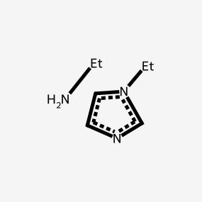 CCN.CCn1ccnc1